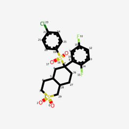 O=S1(=O)CCC2CC(c3cc(F)ccc3F)(S(=O)(=O)c3ccc(Cl)cc3)CCC2C1